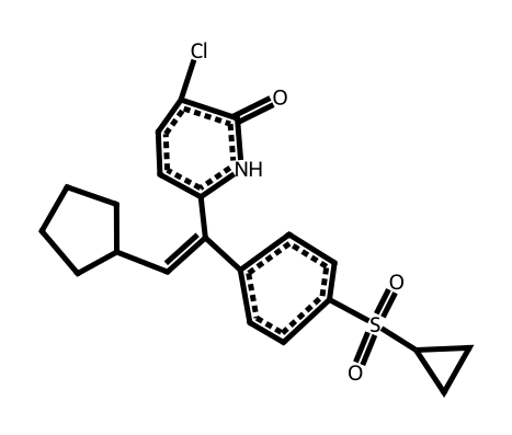 O=c1[nH]c(/C(=C\C2CCCC2)c2ccc(S(=O)(=O)C3CC3)cc2)ccc1Cl